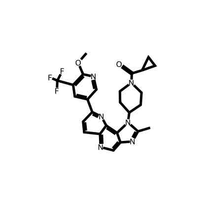 COc1ncc(-c2ccc3ncc4nc(C)n(C5CCN(C(=O)C6CC6)CC5)c4c3n2)cc1C(F)(F)F